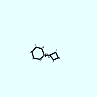 [CH]1CCCCN1C1CCC1